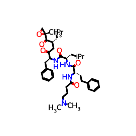 CC(C)C[C@H](CC(=O)[C@H](Cc1ccccc1)NC(=O)[C@H](CC(C)C)NC(=O)[C@H](CCc1ccccc1)NC(=O)CCCN(C)C)C(=O)[C@@]1(C)CO1